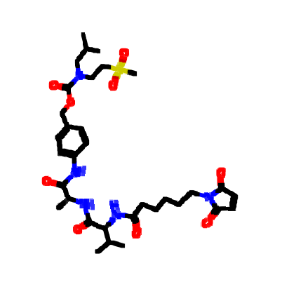 CC(C)CN(CCS(C)(=O)=O)C(=O)OCc1ccc(NC(=O)[C@H](C)NC(=O)[C@@H](NC(=O)CCCCCN2C(=O)C=CC2=O)C(C)C)cc1